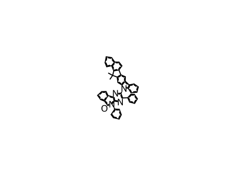 CC1(C)c2cc3c(cc2-c2ccc4ccccc4c21)c1ccccc1n3-c1nc2c3ccccc3c(=O)n(-c3ccccc3)c2nc1-c1ccccc1